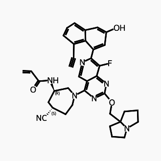 C#Cc1cccc2cc(O)cc(-c3ncc4c(N5CC[C@H](C#N)C[C@@H](NC(=O)C=C)C5)nc(OCC56CCCN5CCC6)nc4c3F)c12